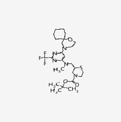 CN(CC1CN(C(=O)OC(C)(C)C)CCS1)c1cc(N2CCOC3(CCCCC3)C2)nc(C(F)(F)F)n1